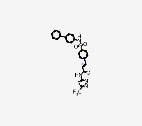 O=C(/C=C/c1ccc(S(=O)(=O)Nc2ccc(-c3ccccc3)cc2)cc1)Nc1nnc(C(F)(F)F)s1